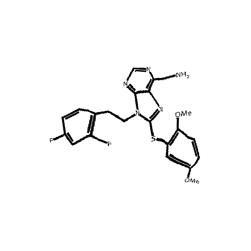 COc1ccc(OC)c(Sc2nc3c(N)ncnc3n2CCc2ccc(F)cc2F)c1